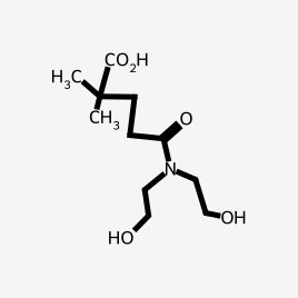 CC(C)(CCC(=O)N(CCO)CCO)C(=O)O